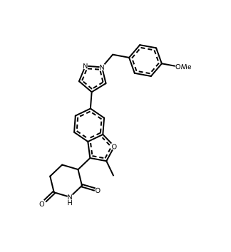 COc1ccc(Cn2cc(-c3ccc4c(C5CCC(=O)NC5=O)c(C)oc4c3)cn2)cc1